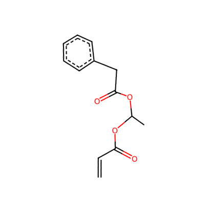 C=CC(=O)OC(C)OC(=O)Cc1ccccc1